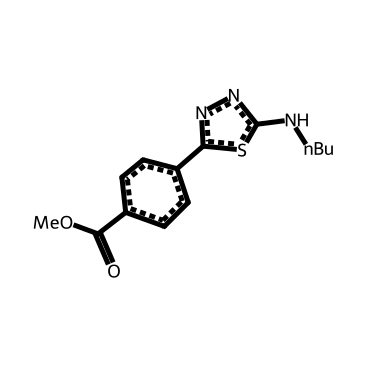 CCCCNc1nnc(-c2ccc(C(=O)OC)cc2)s1